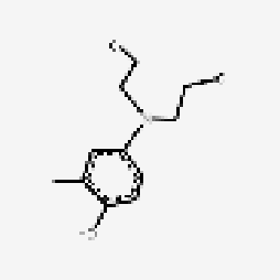 Cc1cc(N(CCCl)CCCl)ccc1O